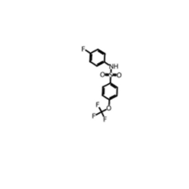 O=S(=O)(Nc1ccc(F)cc1)c1ccc(OC(F)(F)F)cc1